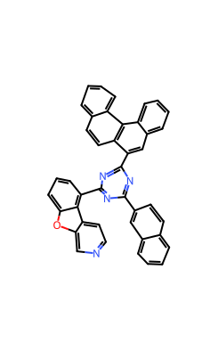 c1ccc2cc(-c3nc(-c4cc5ccccc5c5c4ccc4ccccc45)nc(-c4cccc5oc6cnccc6c45)n3)ccc2c1